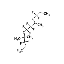 CCC(F)(F)OC(C)C(F)(F)C(F)(F)OC(C)(C)C(F)(F)CC